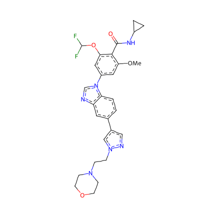 COc1cc(-n2cnc3cc(-c4cnn(CCN5CCOCC5)c4)ccc32)cc(OC(F)F)c1C(=O)NC1CC1